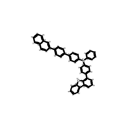 c1ccc(N(c2ccc(-c3ccc(-c4ccc5ccccc5c4)cc3)cc2)c2ccc(-c3cccc4c3oc3ccccc34)cc2)cc1